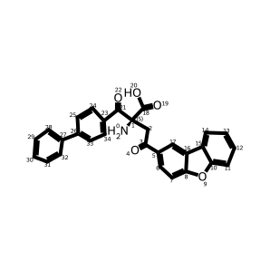 N[C@](CC(=O)c1ccc2oc3ccccc3c2c1)(C(=O)O)C(=O)c1ccc(-c2ccccc2)cc1